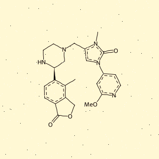 COc1cc(-n2cc(CN3CCN[C@H](c4ccc5c(c4C)COC5=O)C3)n(C)c2=O)ccn1